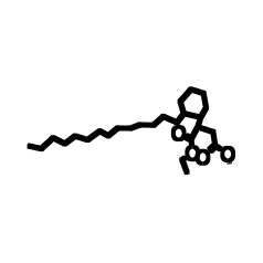 CCCCCCCCCCCCCCC1CCCCC1C(CC(=O)OC)C(=O)OCC